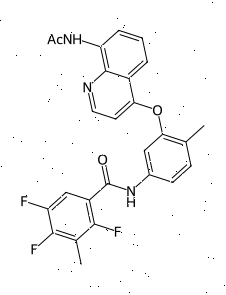 CC(=O)Nc1cccc2c(Oc3cc(NC(=O)c4cc(F)c(F)c(C)c4F)ccc3C)ccnc12